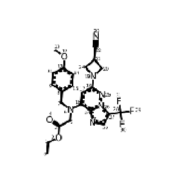 CCOC(=O)CN(Cc1ccc(OC)cc1)c1cc(N2CC(C#N)C2)nn2c(C(F)(F)F)cnc12